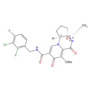 COc1c2n(cc(C(=O)NCc3ccc(F)c(Cl)c3F)c1=O)[C@H]1CCC[C@]13O[C@H](C)CN3C2=O